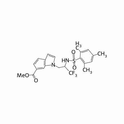 COC(=O)c1ccc2ccn(CC(NS(=O)(=O)c3c(C)cc(C)cc3C)C(F)(F)F)c2c1